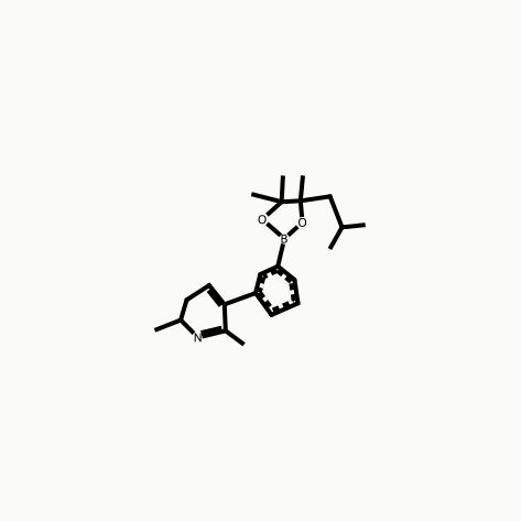 CC1=NC(C)CC=C1c1cccc(B2OC(C)(C)C(C)(CC(C)C)O2)c1